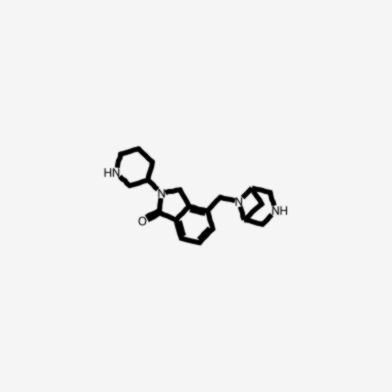 O=C1c2cccc(CN3C4CNCC3C4)c2CN1C1CCCNC1